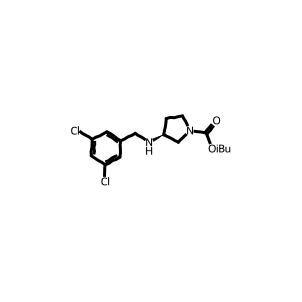 CC(C)COC(=O)N1CC[C@H](NCc2cc(Cl)cc(Cl)c2)C1